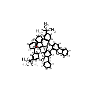 CC(C)(C)c1ccc(N2B3c4c(cc5c(oc6ccccc65)c4N(c4ccc(C(C)(C)C)cc4-c4ccccc4)c4oc5ccccc5c43)-c3c2ccc2c3oc3ccccc32)cc1